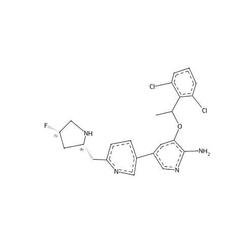 CC(Oc1cc(-c2ccc(C[C@@H]3C[C@H](F)CN3)nc2)cnc1N)c1c(Cl)cccc1Cl